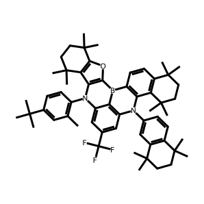 Cc1cc(C(C)(C)C)ccc1N1c2cc(C(F)(F)F)cc3c2B(c2ccc4c(c2N3c2ccc3c(c2)C(C)(C)CCC3(C)C)C(C)(C)CCC4(C)C)c2oc3c(c21)C(C)(C)CCC3(C)C